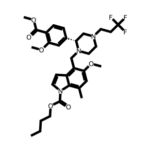 CCCCOC(=O)n1ccc2c(CN3CCN(CCC(F)(F)F)C[C@H]3c3ccc(C(=O)OC)c(OC)c3)c(OC)cc(C)c21